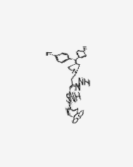 N=N/C(=C\NSc1ccc2c(c1)OCO2)CCN1CCC(=C(c2ccc(F)cc2)c2ccc(F)cc2)CC1